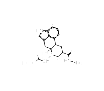 CC(O)C(=O)O.CCC(C)NC(=O)C1CC2c3cccc4[nH]cc(c34)C[C@H]2N(C)C1